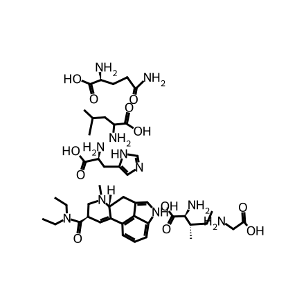 CC(C)CC(N)C(=O)O.CCN(CC)C(=O)[C@@H]1C=C2c3cccc4[nH]cc(c34)C[C@H]2N(C)C1.CC[C@H](C)[C@H](N)C(=O)O.NC(=O)CC[C@H](N)C(=O)O.NCC(=O)O.N[C@@H](Cc1cnc[nH]1)C(=O)O